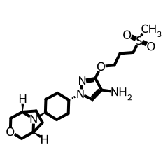 CS(=O)(=O)CCCOc1nn([C@H]2CC[C@H](N3[C@@H]4CC[C@H]3COC4)CC2)cc1N